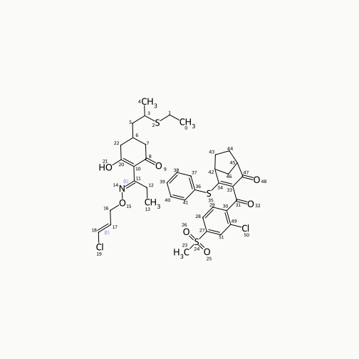 CCSC(C)CC1CC(=O)C(/C(CC)=N/OC/C=C/Cl)=C(O)C1.CS(=O)(=O)c1ccc(C(=O)C2=C(Sc3ccccc3)C3CCC(C3)C2=O)c(Cl)c1